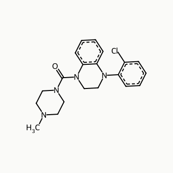 CN1CCN(C(=O)N2CCN(c3ccccc3Cl)c3ccccc32)CC1